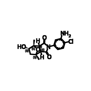 C[C@@]12O[C@@](C)(C[C@@H]1O)[C@H]1C(=O)N(c3ccc(Cl)c(N)c3)C(=O)[C@H]12